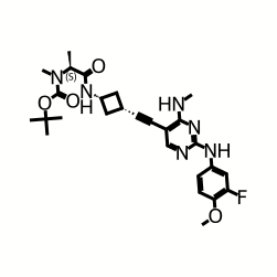 CNc1nc(Nc2ccc(OC)c(F)c2)ncc1C#C[C@H]1C[C@@H](NC(=O)[C@H](C)N(C)C(=O)OC(C)(C)C)C1